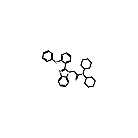 O=C(Cn1c(-c2ccccc2Oc2ccccc2)nc2ccccc21)N(C1CCCCC1)C1CCCCC1